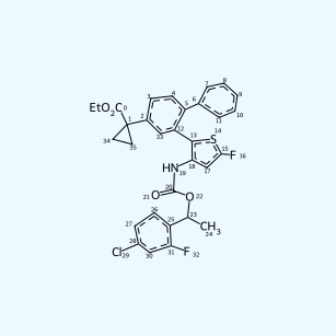 CCOC(=O)C1(c2ccc(-c3ccccc3)c(-c3sc(F)cc3NC(=O)OC(C)c3ccc(Cl)cc3F)c2)CC1